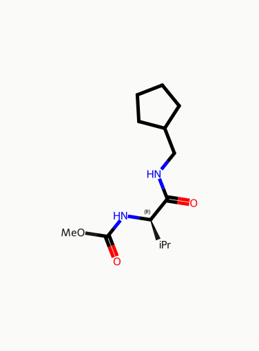 COC(=O)N[C@@H](C(=O)NCC1CCCC1)C(C)C